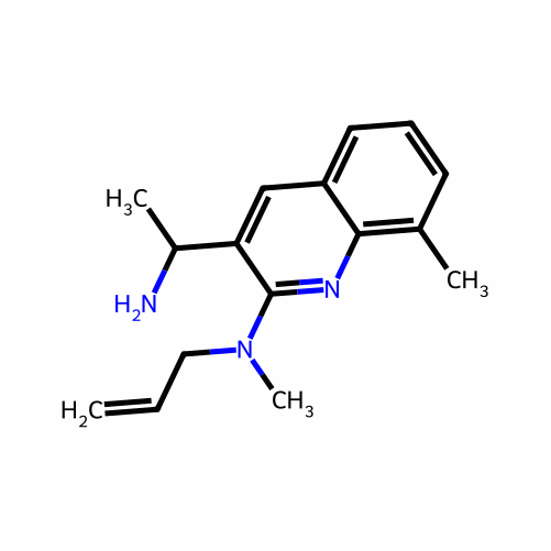 C=CCN(C)c1nc2c(C)cccc2cc1C(C)N